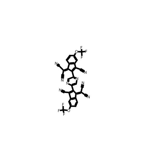 N#CC(C#N)=C1C(c2cnc(C3=C(C#N)c4cc(OC(F)(F)F)ccc4C3=C(C#N)C#N)cn2)=C(C#N)c2cc(OC(F)(F)F)ccc21